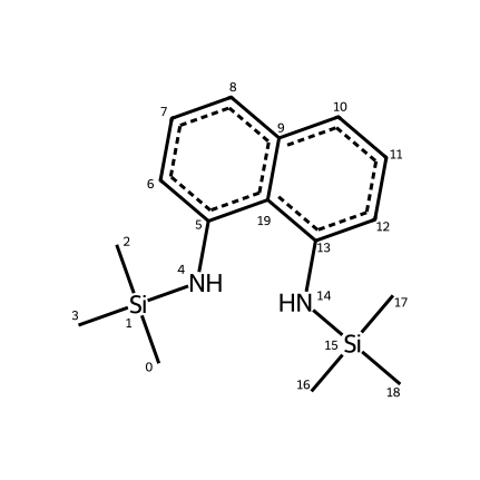 C[Si](C)(C)Nc1cccc2cccc(N[Si](C)(C)C)c12